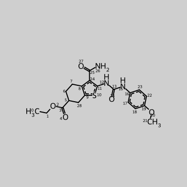 CCOC(=O)C1CCc2c(sc(NC(=O)Nc3ccc(OC)cc3)c2C(N)=O)C1